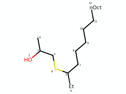 [CH2]C(O)CSC(CC)CCCCCCCCCCCCC